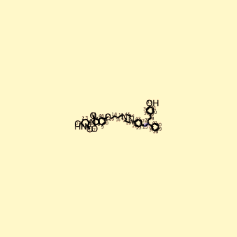 O=C1CCC(N2C(=O)c3ccc(OCCCCN4CCN(c5ccc(/C=C(\CCc6ccc(O)cc6)c6ccccc6)cc5)CC4)cc3C2=O)C(=O)N1